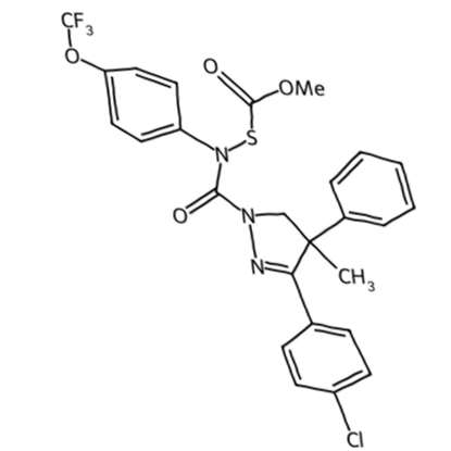 COC(=O)SN(C(=O)N1CC(C)(c2ccccc2)C(c2ccc(Cl)cc2)=N1)c1ccc(OC(F)(F)F)cc1